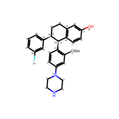 COc1cc(N2CCNCC2)ccc1[C@@H]1c2ccc(O)cc2CC[C@@H]1c1cccc(F)c1